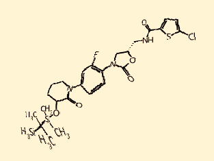 CC(C)([SiH3])[Si](C)(C)OC1CCCN(c2ccc(N3C[C@H](CNC(=O)c4ccc(Cl)s4)OC3=O)c(F)c2)C1=O